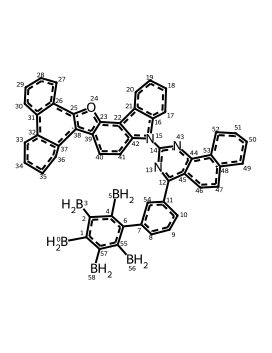 Bc1c(B)c(B)c(-c2cccc(-c3nc(-n4c5ccccc5c5c6oc7c8ccccc8c8ccccc8c7c6ccc54)nc4c3ccc3ccccc34)c2)c(B)c1B